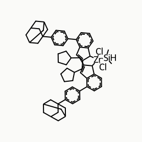 C[SiH](C)[Zr]([Cl])([Cl])([CH]1C(CC2CCCC2)=Cc2c(-c3ccc(C45CC6CC(CC(C6)C4)C5)cc3)cccc21)[CH]1C(CC2CCCC2)=Cc2c(-c3ccc(C45CC6CC(CC(C6)C4)C5)cc3)cccc21